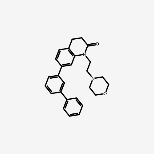 O=C1CCc2ccc(-c3cccc(-c4ccccc4)c3)cc2N1CCN1CCOCC1